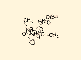 C=CCCNC(=O)[C@@H](Cc1ccccc1)NC(=O)[C@H](CCCCNC(=O)OC(C)(C)C)NC(=O)OCC=C